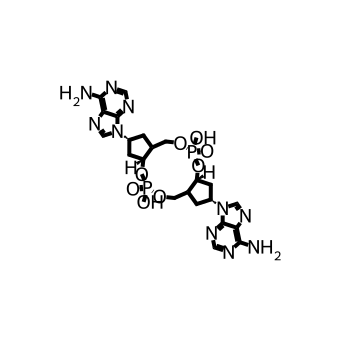 Nc1ncnc2c1ncn2[C@@H]1CC2COP(=O)(O)O[C@@H]3C[C@H](n4cnc5c(N)ncnc54)CC3COP(=O)(O)O[C@@H]2C1